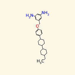 CCC1CCC(C2CCC(c3ccc(OCc4cc(N)cc(N)c4)cc3)CC2)CC1